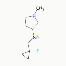 CN1CCC(NCC2(F)CC2)C1